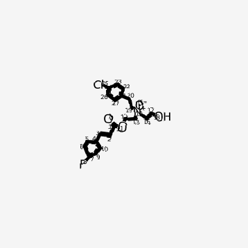 O=C(/C=C/c1ccc(F)cc1)OCC[N@@+]([O-])(CCO)CCc1ccc(Cl)cc1